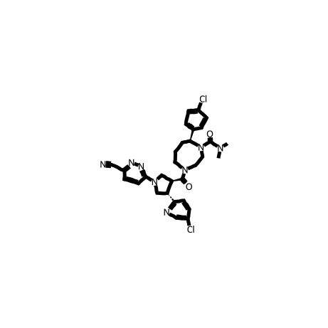 CN(C)C(=O)N1CCN(C(=O)[C@@H]2CN(c3ccc(C#N)nn3)C[C@H]2c2ccc(Cl)cn2)CCC[C@H]1c1ccc(Cl)cc1